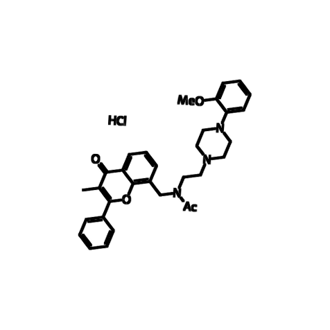 COc1ccccc1N1CCN(CCN(Cc2cccc3c(=O)c(C)c(-c4ccccc4)oc23)C(C)=O)CC1.Cl